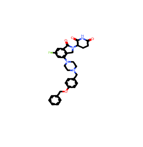 O=C1CCC(N2Cc3c(cc(F)cc3N3CCN(Cc4ccc(OCc5ccccc5)cc4)CC3)C2=O)C(=O)N1